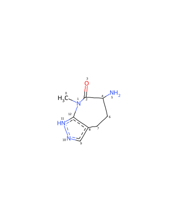 CN1C(=O)C(N)CCc2cn[nH]c21